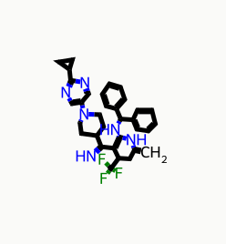 C=C1CC(C(F)(F)F)C(C(=N)C2CCN(c3cnc(C4CC4)nc3)CC2)=C(NC(c2ccccc2)c2ccccc2)N1